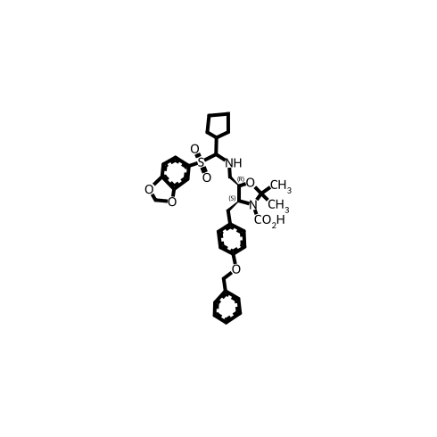 CC1(C)O[C@H](CNC(C2CCCC2)S(=O)(=O)c2ccc3c(c2)OCO3)[C@H](Cc2ccc(OCc3ccccc3)cc2)N1C(=O)O